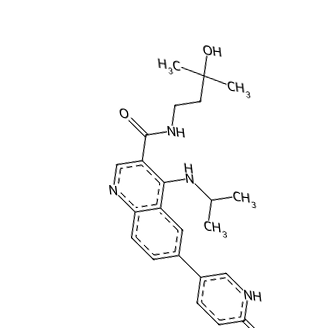 CC(C)Nc1c(C(=O)NCCC(C)(C)O)cnc2ccc(-c3ccc(=O)[nH]c3)cc12